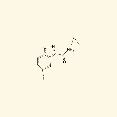 C1CC1.NC(=O)c1noc2ccc(F)cc12